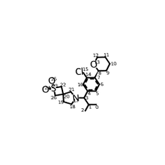 CC(C)C(c1ccc([C@@H]2CCCCO2)c(Cl)c1)N1CCC2(C1)CS(=O)(=O)C2